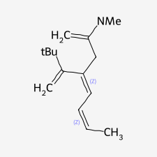 C=C(C/C(=C/C=C\C)C(=C)C(C)(C)C)NC